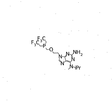 CC(C)N(C)c1nc(N)nc2c1ncn2CCOCP(CC(F)(F)F)CC(F)(F)F